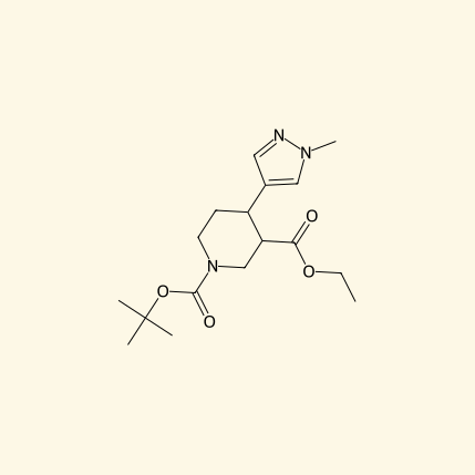 CCOC(=O)C1CN(C(=O)OC(C)(C)C)CCC1c1cnn(C)c1